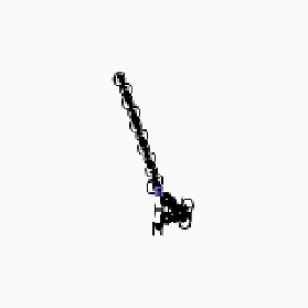 COCCOCCOCCOCCOCCOCCOCCOCCOCCOC(=O)/C=C/c1ccc(-c2nc3c(=O)n(C)c(=O)n(Cc4cccc(C#N)c4)c3[nH]2)cc1